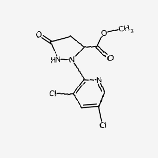 COC(=O)C1CC(=O)NN1c1ncc(Cl)cc1Cl